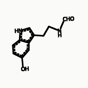 O=CNCCc1c[nH]c2ccc(O)cc12